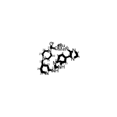 CNc1nccnc1-c1ccc2nc(Nc3cc(CN4CCN(C(=O)OC(C)(C)C)CC4)ccn3)[nH]c2c1